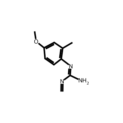 C=N/C(N)=N\c1ccc(OC)cc1C